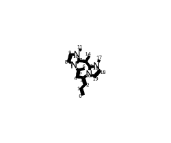 C=C/C=C1\C=C(/C)N2C=CN(C)C2C(C)C2N(C)C=CN12